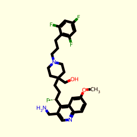 COc1ccc2ncc(CN)c([C@H](F)CCC3(CO)CCN(CCCc4c(F)cc(F)cc4F)CC3)c2c1